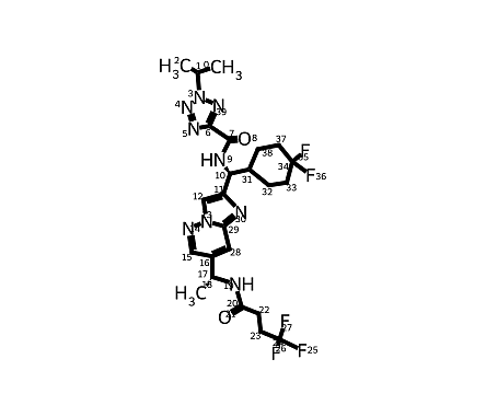 CC(C)n1nnc(C(=O)N[C@H](c2cn3ncc([C@@H](C)NC(=O)CCC(F)(F)F)cc3n2)C2CCC(F)(F)CC2)n1